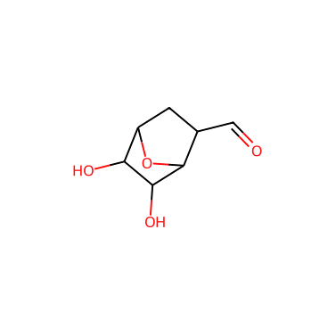 O=CC1CC2OC1C(O)C2O